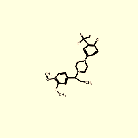 CCC(c1ccc(OC)c(OC)c1)N1CCN(c2ccc(Cl)c(C(F)(F)F)c2)CC1